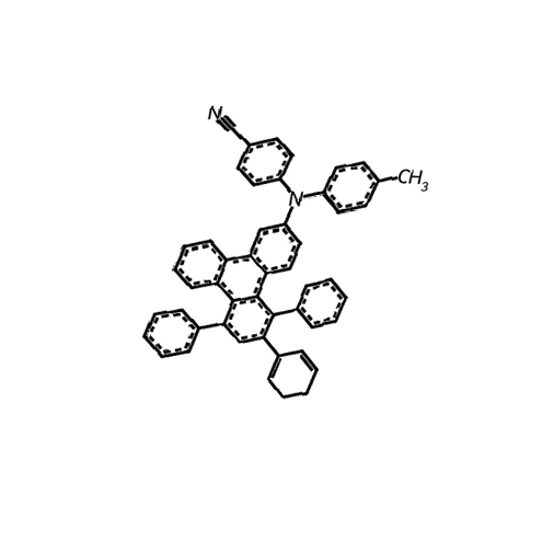 Cc1ccc(N(c2ccc(C#N)cc2)c2ccc3c(c2)c2ccccc2c2c(-c4ccccc4)cc(C4=CCCC=C4)c(-c4ccccc4)c32)cc1